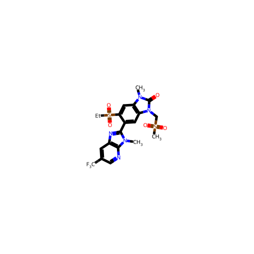 CCS(=O)(=O)c1cc2c(cc1-c1nc3cc(C(F)(F)F)cnc3n1C)n(CS(C)(=O)=O)c(=O)n2C